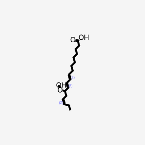 CC/C=C\CC(/C=C/C=C/CCCCCCCC(=O)O)OO